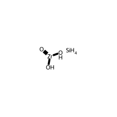 [O]=[Zr]([OH])[OH].[SiH4]